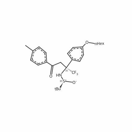 CCCCCCOc1ccc([C@](CC(=O)c2ccc(C)cc2)(N[S@@+]([O-])C(C)(C)C)C(F)(F)F)cc1